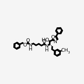 Cc1cccc(CC[C@H](NC(=O)CCCCNC(=O)OCc2ccccc2)C(O)c2ncc(-c3ccccc3)o2)c1